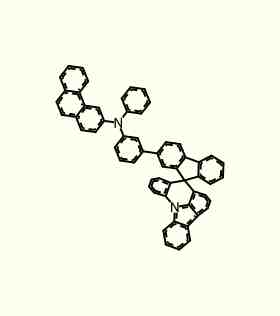 c1ccc(N(c2cccc(-c3ccc4c(c3)C3(c5ccccc5-4)c4ccccc4-n4c5ccccc5c5cccc3c54)c2)c2ccc3ccc4ccccc4c3c2)cc1